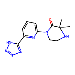 CC1(C)NCCN(c2cccc(-c3nnn[nH]3)n2)C1=O